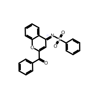 O=C(c1ccccc1)c1c/c(=N\S(=O)(=O)c2ccccc2)c2ccccc2o1